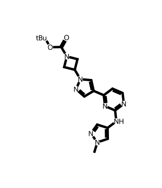 Cn1cc(Nc2nccc(-c3cnn(C4CN(C(=O)OC(C)(C)C)C4)c3)n2)cn1